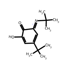 CC(C)(C)/N=C1\C=C(C(C)(C)C)C=C(O)C1=O